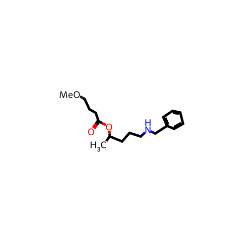 COCCCC(=O)OC(C)CCCNCc1ccccc1